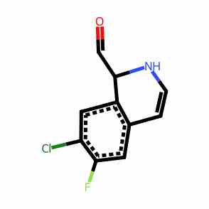 O=CC1NC=Cc2cc(F)c(Cl)cc21